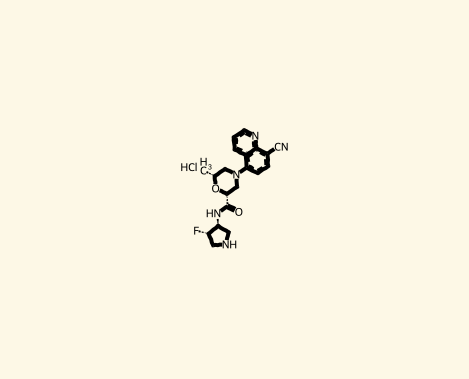 C[C@@H]1CN(c2ccc(C#N)c3ncccc23)C[C@H](C(=O)N[C@@H]2CNC[C@@H]2F)O1.Cl